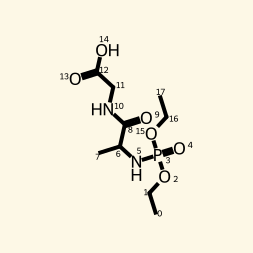 CCOP(=O)(NC(C)C(=O)NCC(=O)O)OCC